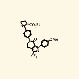 CCOC(=O)N1CCN=C1c1ccc(N2CCc3c(C(F)(F)F)nn(-c4ccc(OC)cc4)c3C2=O)cc1